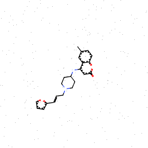 Cc1ccc2oc(=O)cc(NC3CCN(C/C=C/c4ccco4)CC3)c2c1